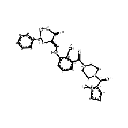 CC[C@@H](N/C(=C\Nc1cccc(C(=O)N2CCN(C(=O)c3cccn3C)CC2)c1O)C(=O)C=O)c1ccccc1